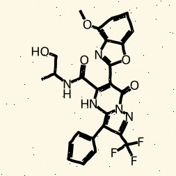 COc1cccc2oc(-c3c(C(=O)NC(C)CO)[nH]c4c(-c5ccccc5)c(C(F)(F)F)nn4c3=O)nc12